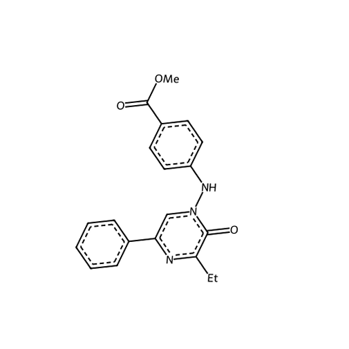 CCc1nc(-c2ccccc2)cn(Nc2ccc(C(=O)OC)cc2)c1=O